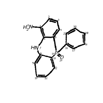 Nc1cccc2c1Nc1ccccc1P2(=O)c1ccccc1